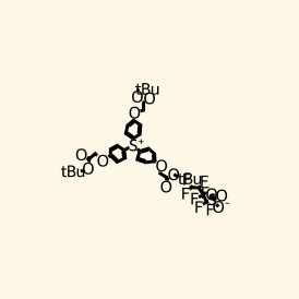 CC(C)(C)OC(=O)COc1ccc([S+](c2ccc(OCC(=O)OC(C)(C)C)cc2)c2ccc(OCC(=O)OC(C)(C)C)cc2)cc1.O=S(=O)([O-])C(F)(F)C(F)(F)C(F)C(F)F